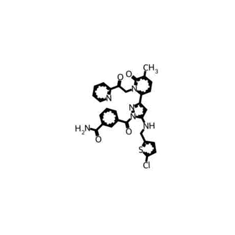 Cc1ccc(-c2cc(NCc3ccc(Cl)s3)n(C(=O)c3cccc(C(N)=O)c3)n2)n(CC(=O)c2ccccn2)c1=O